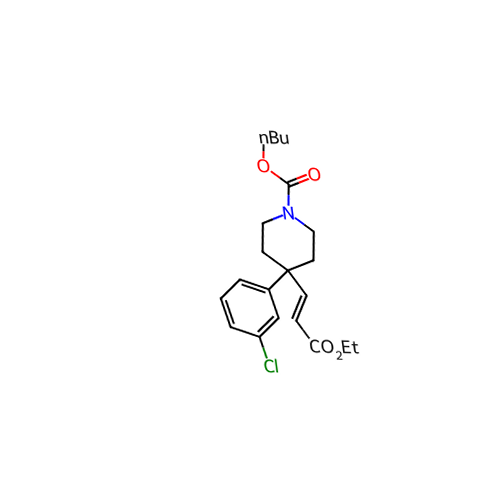 CCCCOC(=O)N1CCC(C=CC(=O)OCC)(c2cccc(Cl)c2)CC1